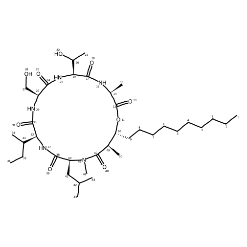 CCCCCCCCCC[C@H]1OC(=O)[C@H](C)NC(=O)[C@H](C(C)O)NC(=O)[C@H](CO)NC(=O)[C@H](C(C)CC)NC(=O)[C@H](CC(C)C)N(C)C(=O)[C@@H]1C